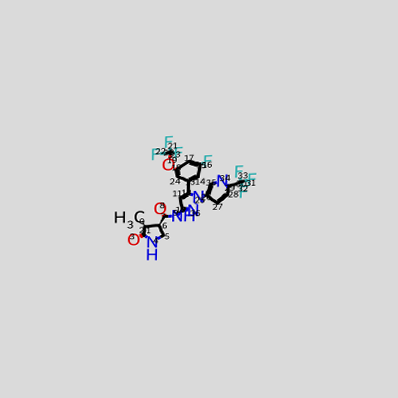 C[C@H]1C(=O)NC[C@@H]1C(=O)Nc1cc(-c2cc(F)cc(OC(F)(F)F)c2)n(-c2ccc(C(F)(F)F)nc2)n1